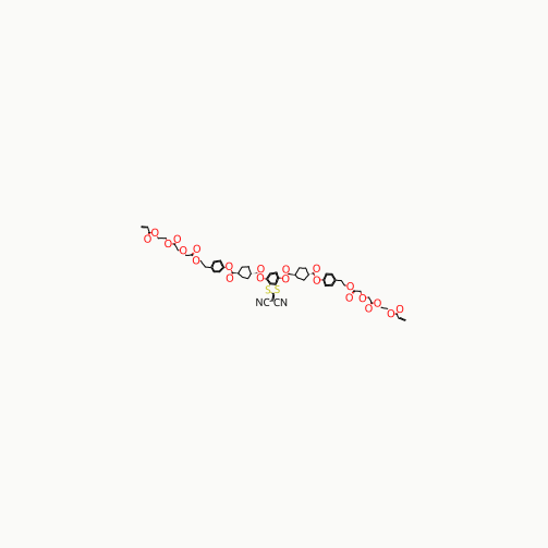 C=CC(=O)OCCOC(=O)COCC(=O)OCCc1ccc(OC(=O)[C@H]2CC[C@H](C(=O)Oc3ccc(OC(=O)[C@H]4CC[C@H](C(=O)Oc5ccc(CCOC(=O)COCC(=O)OCCOC(=O)C=C)cc5)CC4)c4c3SC(=C(C#N)C#N)S4)CC2)cc1